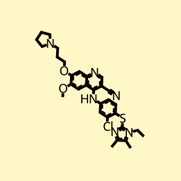 CCn1c(Sc2ccc(Nc3c(C#N)cnc4cc(OCCCN5CCCC5)c(OC)cc34)cc2Cl)nc(C)c1C